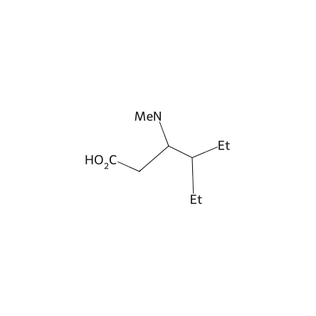 CCC(CC)C(CC(=O)O)NC